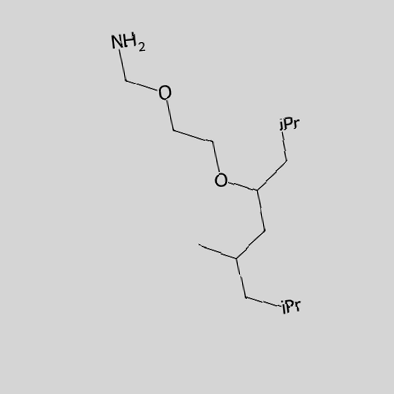 CC(C)CC(C)CC(CC(C)C)OCCOCN